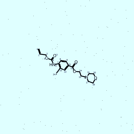 C=CCOC(=O)Nc1ccc(C(=O)OCCN2CCOCC2)cc1I